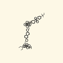 CCC(CC)OCC(COc1ccc2cc(OCC(COc3ccc(S(=O)(=O)c4ccc(C(C)(C)CC)cc4)cc3)OS(=O)(=O)O)ccc2c1)OS(=O)(=O)O